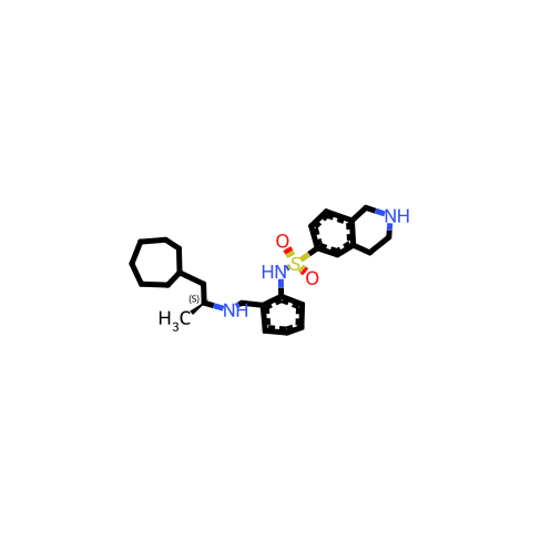 C[C@@H](CC1CCCCCC1)NCc1ccccc1NS(=O)(=O)c1ccc2c(c1)CCNC2